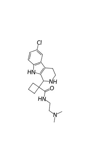 CN(C)CCNC(=O)C1(C2NCCc3c2[nH]c2ccc(Cl)cc32)CCC1